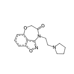 O=C1COc2cccc3onc(c23)N1CCN1CCCC1